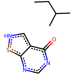 CCC(C)C.O=c1ncnc2s[nH]cc1-2